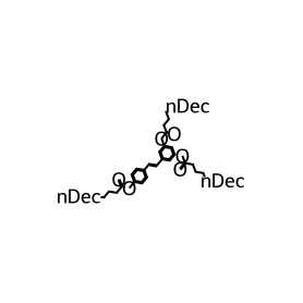 CCCCCCCCCCCCCC(=O)Oc1ccc(C=Cc2cc(OC(=O)CCCCCCCCCCCCC)cc(OC(=O)CCCCCCCCCCCCC)c2)cc1